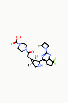 C[C@H]1CCN1c1nc(C2NC[C@H]3[C@@H](CC(=O)N4CCN(C(=O)O)CC4)[C@@H]23)c2c(n1)C(F)(F)CC2